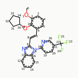 COc1cccc(C=Cc2nc3ccccc3n2-c2ccc(C(F)(F)F)cn2)c1OC1CCCC1